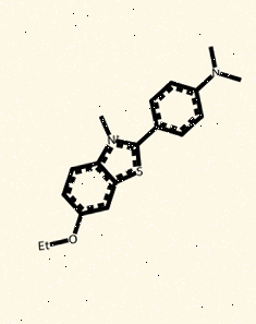 CCOc1ccc2c(c1)sc(-c1ccc(N(C)C)cc1)[n+]2C